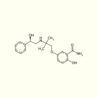 CC(C)(COc1ccc(O)c(C(N)=O)c1)NC[C@H](O)c1ccccc1